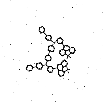 CC1(C)c2cccc3cc(-c4cccc(N(c5ccc(-c6ccccc6)cc5)c5ccc(-c6ccc(N(c7ccc(-c8ccccc8)cc7)c7cccc(-c8cc9cccc%10c9c9c(cccc89)C%10(C)C)c7)cc6)cc5)c4)c4cccc1c4c23